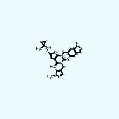 C=C1c2cc(SNC3(C)CC3)sc2N(Cc2ccc3cn[nH]c3c2)C(=O)N1Cc1cnn(C)c1